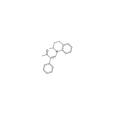 CC(=O)/C(=C\N1c2ccccc2CCC1C)c1ccccc1